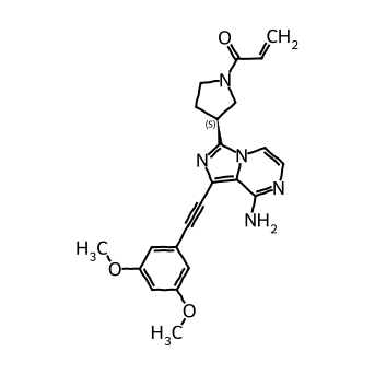 C=CC(=O)N1CC[C@H](c2nc(C#Cc3cc(OC)cc(OC)c3)c3c(N)nccn23)C1